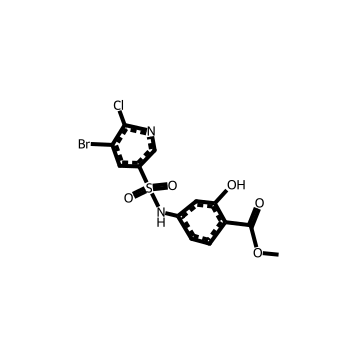 COC(=O)c1ccc(NS(=O)(=O)c2cnc(Cl)c(Br)c2)cc1O